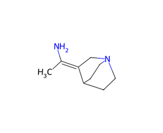 C/C(N)=C1/CN2CCC1CC2